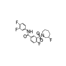 O=C(Nc1ccc(F)c(F)c1)c1ccc(F)c(S(=O)(=O)N2CCCCC(F)C2)c1